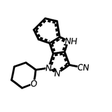 N#Cc1nn(C2CCCCO2)c2c1[nH]c1ccccc12